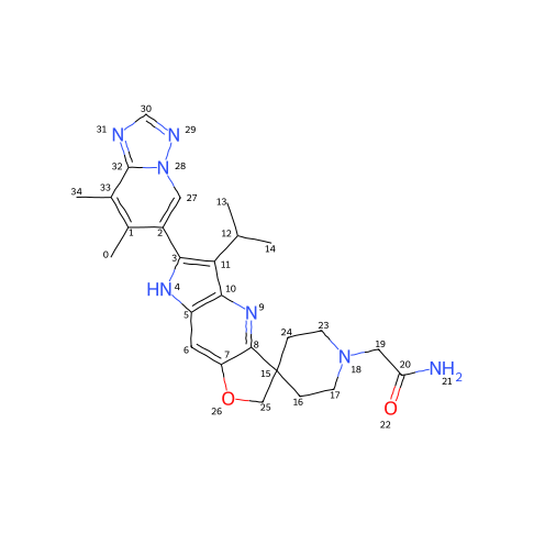 Cc1c(-c2[nH]c3cc4c(nc3c2C(C)C)C2(CCN(CC(N)=O)CC2)CO4)cn2ncnc2c1C